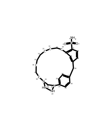 NS(=O)(=O)c1ccc2cc1CCCCCCCCCN1CN(NN1)c1ccc(cc1)C2